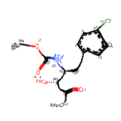 COC(=O)[C@H](O)[C@H](Cc1ccc(Cl)cc1)NC(=O)OC(C)(C)C